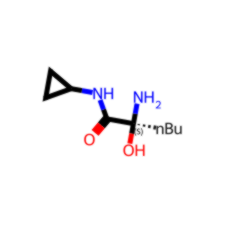 CCCC[C@](N)(O)C(=O)NC1CC1